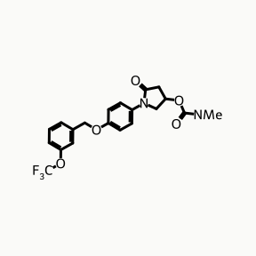 CNC(=O)OC1CC(=O)N(c2ccc(OCc3cccc(OC(F)(F)F)c3)cc2)C1